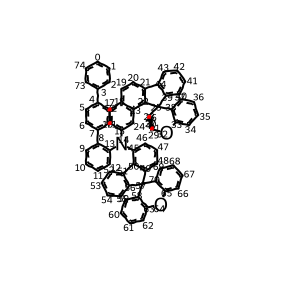 c1ccc(-c2ccc(-c3ccccc3N(c3ccc4ccc5c(c4c3)C3(c4ccccc4Oc4ccccc43)c3ccccc3-5)c3cccc4c3-c3ccccc3C43c4ccccc4Oc4ccccc43)cc2)cc1